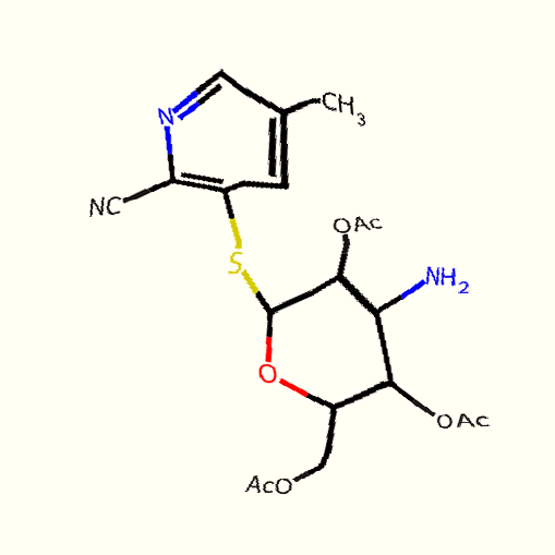 CC(=O)OCC1OC(Sc2cc(C)cnc2C#N)C(OC(C)=O)C(N)C1OC(C)=O